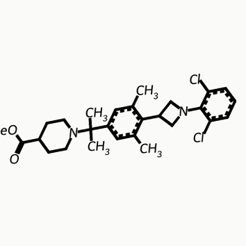 COC(=O)C1CCN(C(C)(C)c2cc(C)c(C3CN(c4c(Cl)cccc4Cl)C3)c(C)c2)CC1